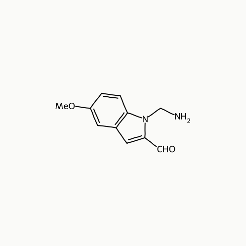 COc1ccc2c(c1)cc(C=O)n2CN